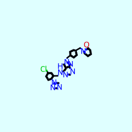 O=c1ccccn1Cc1ccc(Cn2cc3c(NCc4cc(Cl)ccc4-n4cncn4)ncnc3n2)cc1